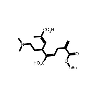 C=C(CC=C(C(=O)O)C(C=C(C)C(=O)O)CCN(C)C)C(=O)OCCCC